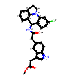 COC(=O)Cc1c[nH]c2ccc(CC(=O)NC(c3ccccc3)c3ccc(Cl)cc3N3CCCC3)cc12